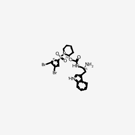 N[C@H](Cc1c[nH]c2ccccc12)NC(=O)O[C@H]1CCCCN1S(=O)(=O)c1cc(Br)c(Br)s1